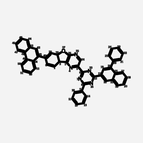 C1=CC2c3nc(-c4nc(-c5ccccc5)nc(-c5cc(-c6ccccc6)c6ccccc6c5)n4)cnc3OC2C=C1c1cc2ccccc2c2ccccc12